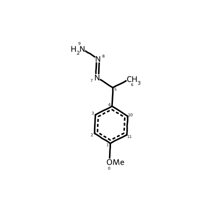 COc1ccc(C(C)N=NN)cc1